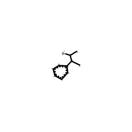 CC(Br)C(C)c1ccccc1